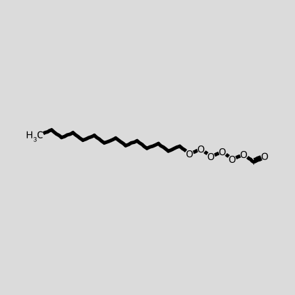 CCCCCCCCCCCCCCOOOOOO[C]=O